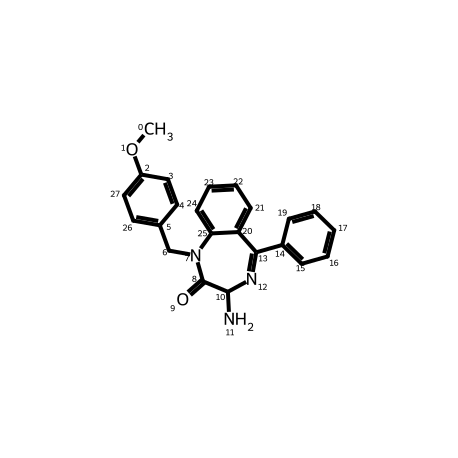 COc1ccc(CN2C(=O)C(N)N=C(c3ccccc3)c3ccccc32)cc1